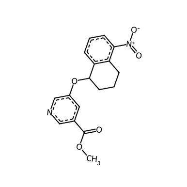 COC(=O)c1cncc(OC2CCCc3c2cccc3[N+](=O)[O-])c1